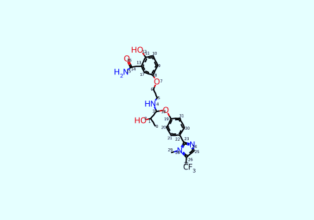 CC(O)C(NCCOc1ccc(O)c(C(N)=O)c1)Oc1ccc(-c2ncc(C(F)(F)F)n2C)cc1